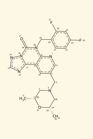 C[C@@H]1CN(Cc2cnc3c(c2)c2ncnn2c(=O)n3Cc2ccc(F)cc2F)C[C@H](C)O1